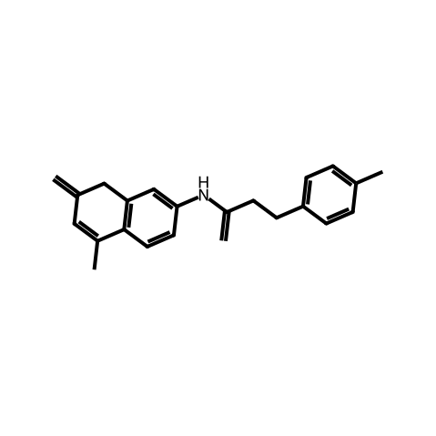 C=C1C=C(C)c2ccc(NC(=C)CCc3ccc(C)cc3)cc2C1